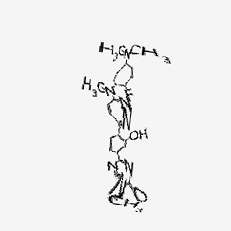 CN(C)C1CCC(F)[C@@H](N(C)c2ccc(-c3ccc(-c4ncn(C)c(=O)n4)cc3O)nn2)C1